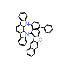 c1ccc(-c2ccc(-n3c4ccccc4c4ccc5c6ccccc6n(-c6cccc7oc8cc9ccccc9cc8c67)c5c43)cc2)cc1